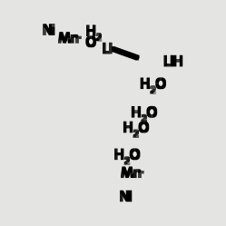 O.O.O.O.O.[LiH].[Li][CH3].[Mn].[Mn].[Ni].[Ni]